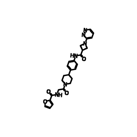 O=C(NCC(=O)N1CCC(c2ccc(NC(=O)C3CN(c4cccnn4)C3)cc2)CC1)c1ccco1